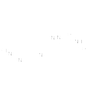 [2H]N1CCN(CC2CCN(c3ccc4c(C5CCC(=O)NC5=O)nn(C)c4c3)CC2)CC1